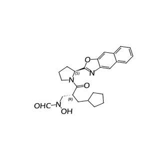 O=CN(O)C[C@@H](CC1CCCC1)C(=O)N1CCC[C@H]1c1nc2cc3ccccc3cc2o1